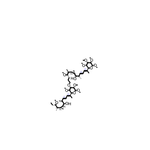 CC[C@H](OC)[C@@H](C)[C@@H]1C[C@H]1[C@H](O)[C@@H](C)/C=C/C=C(\C)[C@@H]1O[C@H](OC)[C@@H](OC)[C@@H](OCCC[C@H](OC)[C@@H](C)[C@@H]2C[C@H]2[C@H](O)[C@@H](C)/C=C/C=C(\C)[C@@H]2O[C@H](OC)[C@H](OC)[C@@H](OC)[C@H]2OC)[C@@H]1OC